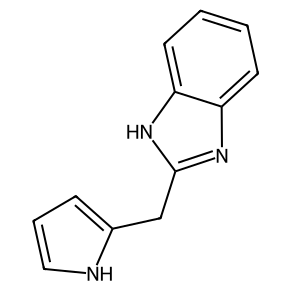 c1c[nH]c(Cc2nc3ccccc3[nH]2)c1